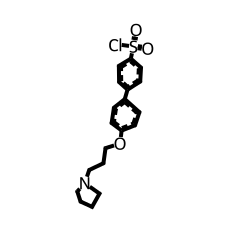 O=S(=O)(Cl)c1ccc(-c2ccc(OCCCN3CCCC3)cc2)cc1